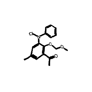 COCOc1c(C(C)=O)cc(C)cc1N(Cl)c1ccccc1